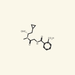 CN(C(=O)CNC(=O)c1ccccc1C(=O)O)[C@H](C=O)CC1CC1